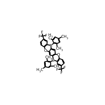 Cc1cc(C)c(B2c3cc(C(F)(F)F)ccc3Oc3cc4c(cc32)Oc2ccc(C(F)(F)F)cc2B4c2c(C)cc(C)cc2C)c(C)c1